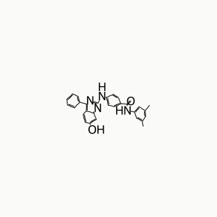 Cc1cc(C)cc(NC(=O)c2ccc(Nc3nc(-c4ccccc4)c4ccc(O)cc4n3)cc2)c1